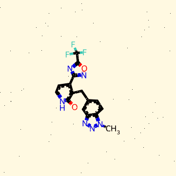 Cn1nnc2cc(Cc3c(-c4noc(C(F)(F)F)n4)cc[nH]c3=O)ccc21